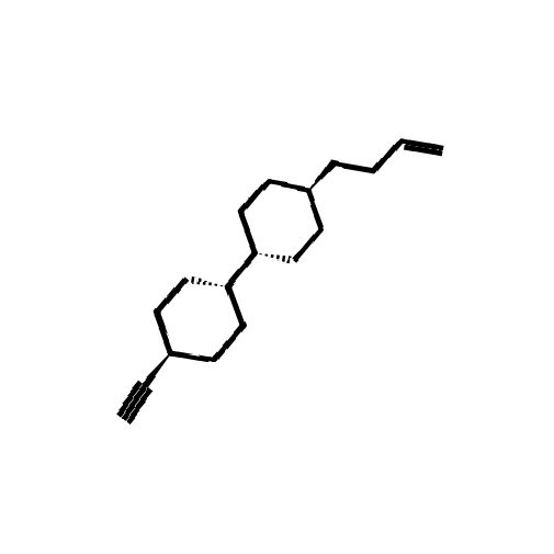 C#C[C@H]1CC[C@H]([C@H]2CC[C@H](CCC=C)CC2)CC1